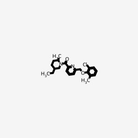 CCC1CCC(C)N(C(=O)c2cccc(COc3c(C)cccc3Cl)n2)C1